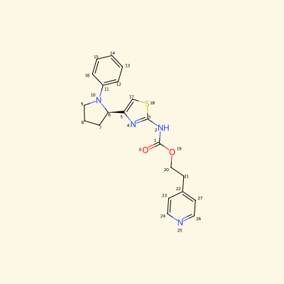 O=C(Nc1nc([C@H]2CCCN2c2ccccc2)cs1)OCCc1ccncc1